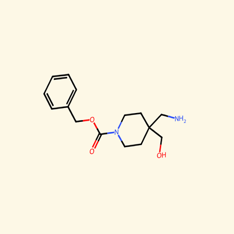 NCC1(CO)CCN(C(=O)OCc2ccccc2)CC1